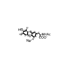 CC(=O)N[C@@H](Cc1cc(I)c(Oc2cc(I)c(O)c(I)c2)c(I)c1)C(=O)[O-].[Na+]